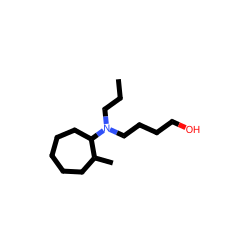 CCCN(CCCCO)C1CCCCCC1C